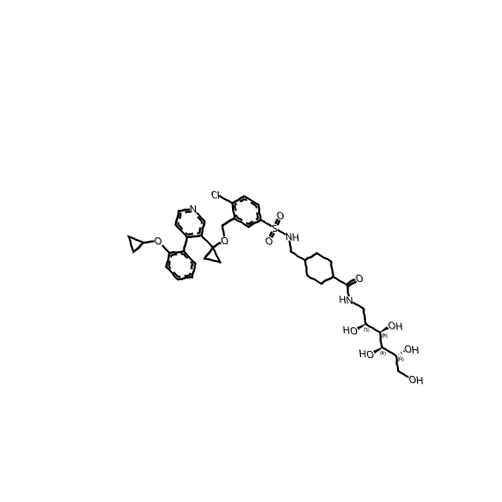 O=C(NC[C@H](O)[C@@H](O)[C@H](O)[C@H](O)CO)C1CCC(CNS(=O)(=O)c2ccc(Cl)c(COC3(c4cnccc4-c4ccccc4OC4CC4)CC3)c2)CC1